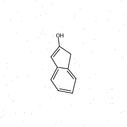 OC1=Cc2ccccc2C1